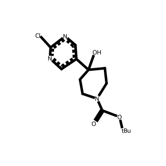 CC(C)(C)OC(=O)N1CCC(O)(c2cnc(Cl)nc2)CC1